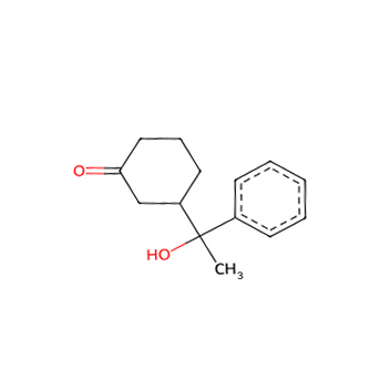 CC(O)(c1ccccc1)C1CCCC(=O)C1